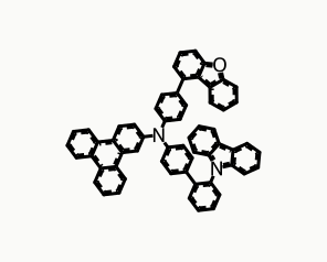 c1ccc(-n2c3ccccc3c3ccccc32)c(-c2ccc(N(c3ccc(-c4cccc5oc6ccccc6c45)cc3)c3ccc4c5ccccc5c5ccccc5c4c3)cc2)c1